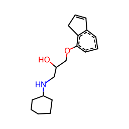 OC(CNC1CCCCC1)COc1cccc2c1CC=C2